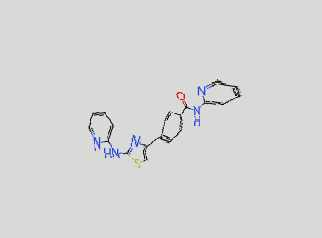 O=C(Nc1ccccn1)c1ccc(-c2csc(Nc3ccccn3)n2)cc1